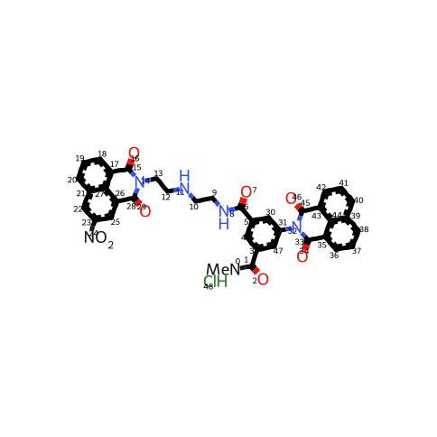 CNC(=O)c1cc(C(=O)NCCNCCN2C(=O)c3cccc4cc([N+](=O)[O-])cc(c34)C2=O)cc(N2C(=O)c3cccc4cccc(c34)C2=O)c1.Cl